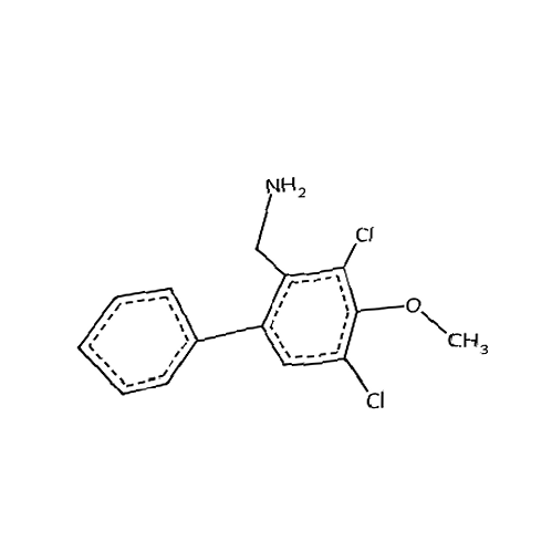 COc1c(Cl)cc(-c2ccccc2)c(CN)c1Cl